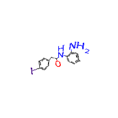 Nc1ccccc1NC(=O)Cc1ccc(I)cc1